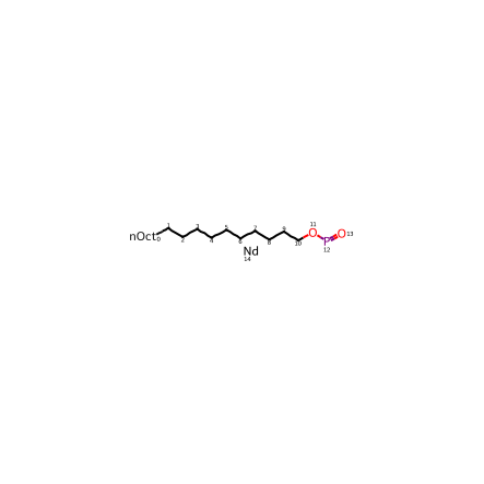 CCCCCCCCCCCCCCCCCCOP=O.[Nd]